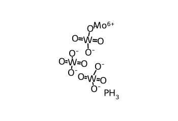 P.[Mo+6].[O]=[W](=[O])([O-])[O-].[O]=[W](=[O])([O-])[O-].[O]=[W](=[O])([O-])[O-]